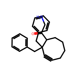 NCC(=O)C1CCCCC#CC1(Cc1ccccc1)Cc1ccccc1